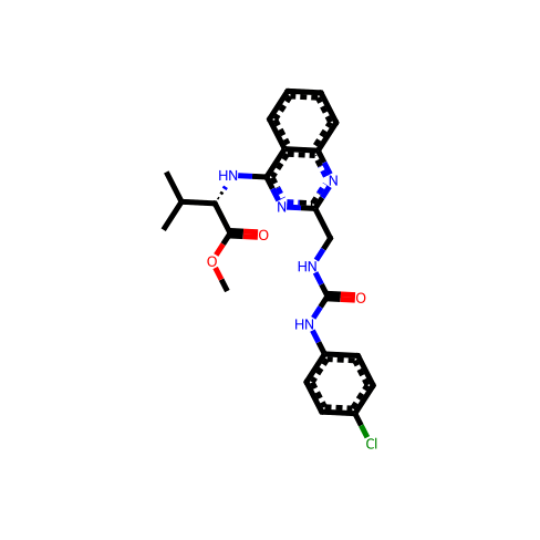 COC(=O)[C@@H](Nc1nc(CNC(=O)Nc2ccc(Cl)cc2)nc2ccccc12)C(C)C